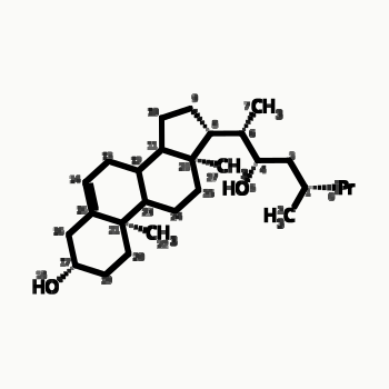 CC(C)[C@H](C)C[C@H](O)[C@@H](C)[C@H]1CCC2C3CC=C4C[C@@H](O)CC[C@]4(C)C3CC[C@@]21C